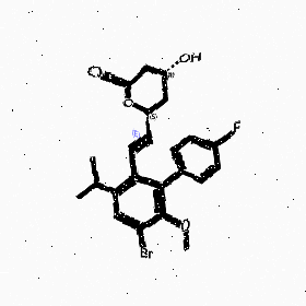 COc1c(Br)cc(C(C)C)c(/C=C/[C@@H]2C[C@@H](O)CC(=O)O2)c1-c1ccc(F)cc1